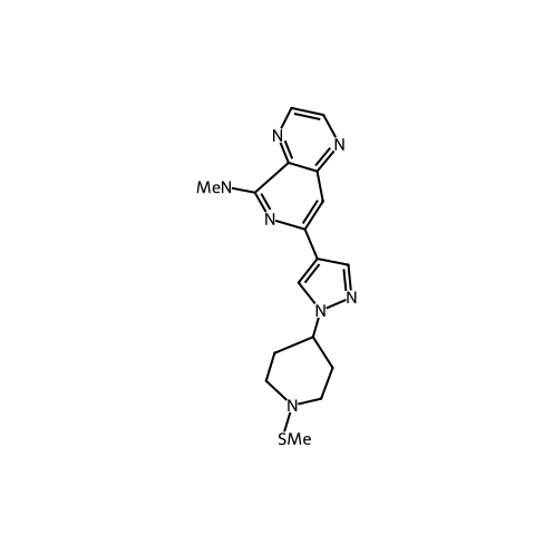 CNc1nc(-c2cnn(C3CCN(SC)CC3)c2)cc2nccnc12